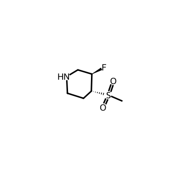 CS(=O)(=O)[C@@H]1CCNC[C@H]1F